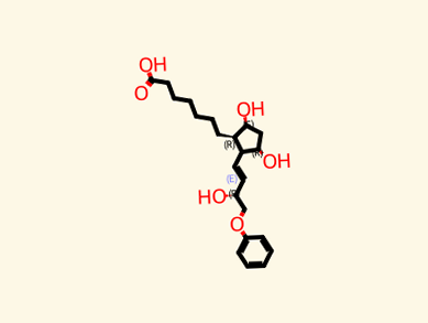 O=C(O)CCCCCC[C@@H]1C(/C=C/[C@@H](O)COc2ccccc2)[C@H](O)C[C@@H]1O